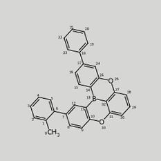 Cc1ccccc1-c1ccc2c(c1)B1c3ccc(-c4ccccc4)cc3Oc3cccc(c31)O2